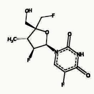 C[C@H]1[C@H](F)[C@H](n2cc(F)c(=O)[nH]c2=O)O[C@@]1(CO)CF